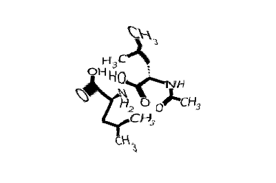 CC(=O)N[C@@H](CC(C)C)C(=O)O.CC(C)C[C@H](N)C(=O)O